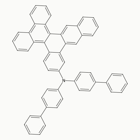 c1ccc(-c2ccc(N(c3ccc(-c4ccccc4)cc3)c3ccc4c(c3)c3cc5ccccc5cc3c3c5ccccc5c5ccccc5c43)cc2)cc1